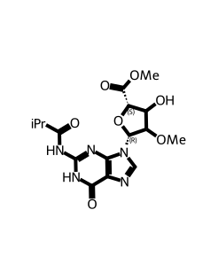 COC(=O)[C@H]1O[C@@H](n2cnc3c(=O)[nH]c(NC(=O)C(C)C)nc32)C(OC)C1O